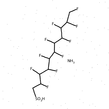 N.O=S(=O)(O)CC(F)C(F)C(F)C(F)C(F)C(F)C(F)C(F)C(F)CF